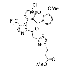 COC(=O)CCc1csc(CC2OC(c3cccc(OC)c3OC)c3cc(Cl)ccc3-n3c2nnc3C(F)(F)F)n1